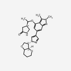 Cc1c2c(OC(C)[C@H]3CNC(=O)C3)cc(-c3cnn([C@H]4COC5CCCO[C@@H]54)c3)cc2nn1C